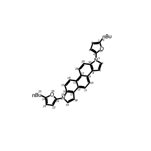 CCCCc1ccc(-n2ccc3c4ccc5c(ccc6c5ccn6-c5ccc(CCCC)o5)c4ccc32)o1